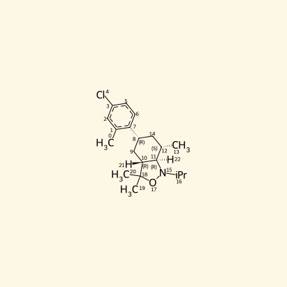 Cc1cc(Cl)ccc1[C@H]1C[C@@H]2[C@@H]([C@@H](C)C1)N(C(C)C)OC2(C)C